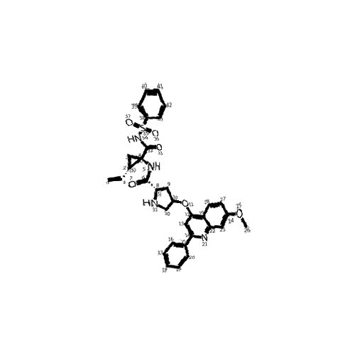 C=C[C@@H]1C[C@]1(NC(=O)[C@@H]1CC(Oc2cc(-c3ccccc3)nc3cc(OC)ccc23)CN1)C(=O)NS(=O)(=O)c1ccccc1